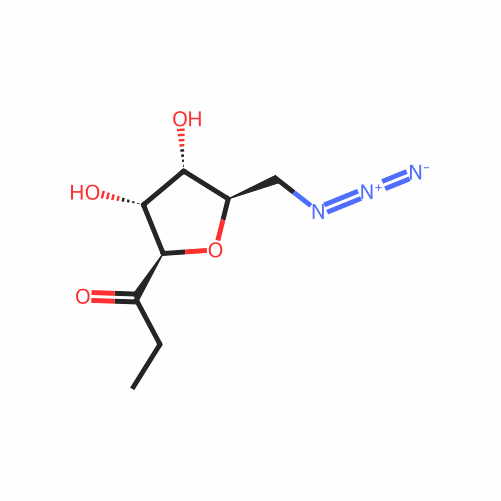 CCC(=O)[C@@H]1O[C@H](CN=[N+]=[N-])[C@@H](O)[C@H]1O